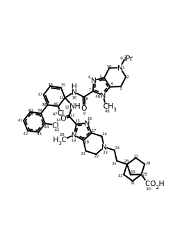 CC(C)N1CCc2c(nc(C(=O)NC3(NC(=O)c4nc5c(n4C)CCN(CCC46CCC(C(=O)O)(CC4)C6)C5)C=CC=C(c4ccccc4Cl)C3Cl)n2C)C1